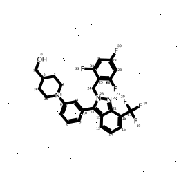 OCC1CCN(c2cccc(-c3c4cccc(C(F)(F)F)c4nn3Cc3c(F)cc(F)cc3F)c2)CC1